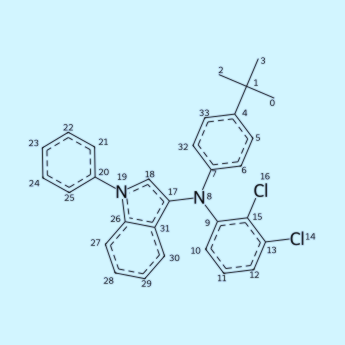 CC(C)(C)c1ccc(N(c2cccc(Cl)c2Cl)c2cn(-c3ccccc3)c3ccccc23)cc1